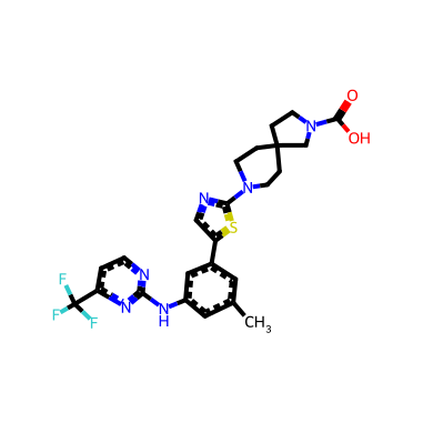 Cc1cc(Nc2nccc(C(F)(F)F)n2)cc(-c2cnc(N3CCC4(CCN(C(=O)O)C4)CC3)s2)c1